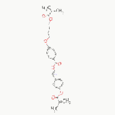 C=C(C)C(=O)OCCCCOc1ccc(C(=O)O/C=C/c2ccc(OC(=O)C(=C)C)cc2)cc1